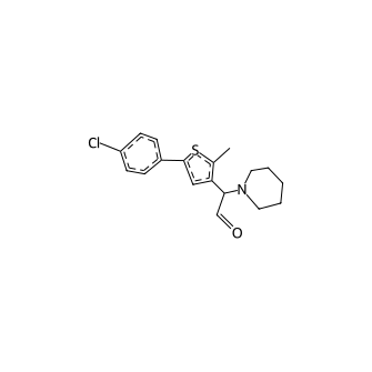 Cc1sc(-c2ccc(Cl)cc2)cc1C(C=O)N1CCCCC1